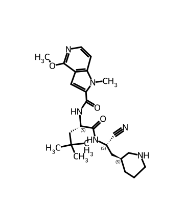 COc1nccc2c1cc(C(=O)N[C@@H](CC(C)(C)C)C(=O)N[C@H](C#N)C[C@@H]1CCCNC1)n2C